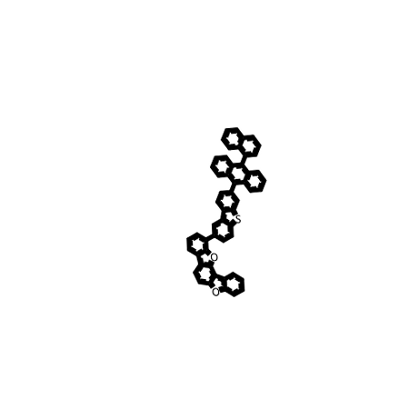 c1ccc2c(-c3c4ccccc4c(-c4ccc5c(c4)sc4ccc(-c6cccc7c6oc6c7ccc7oc8ccccc8c76)cc45)c4ccccc34)cccc2c1